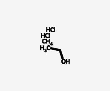 C.CCO.Cl.Cl